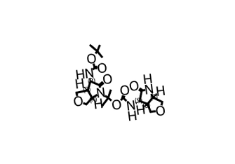 CC(C)(C)OC(=O)N[C@H]1C(=O)N(C(C)(C)OC(=O)N[C@@H]2C(=O)N[C@@H]3COC[C@H]23)[C@H]2COC[C@@H]12